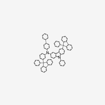 c1ccc(-c2ccc(N(c3cccc(C4(c5ccccc5)c5ccccc5-c5ccccc54)c3)c3ccc4c(c3)c3cc(C5(c6ccccc6)c6ccccc6-c6ccccc65)ccc3n4-c3ccccc3)cc2)cc1